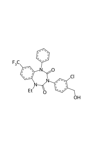 CCN1C(=O)N(c2ccc(CO)c(Cl)c2)C(=O)N(c2ccccc2)c2cc(C(F)(F)F)ccc21